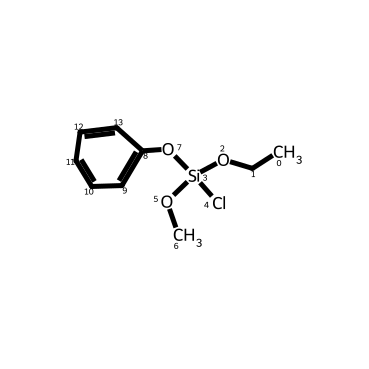 CCO[Si](Cl)(OC)Oc1ccccc1